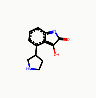 O=C1N=c2cccc(C3CCNC3)c2=C1O